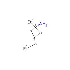 CCC1(N)CC(CC(C)C)C1